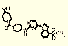 CS(=O)(=O)c1cccc2c1ccn2-c1ccnc(N[C@H]2CC[C@H](C(=O)N3CCC(O)CC3)CC2)n1